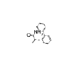 C=C(C)C(N)=O.c1ccc(-c2ccccc2)cc1